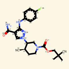 CC(C)(C#N)COC(=O)N1CC[C@@H](C#N)C(n2cc(C(N)=O)c(Nc3ccc(F)cc3)n2)C1